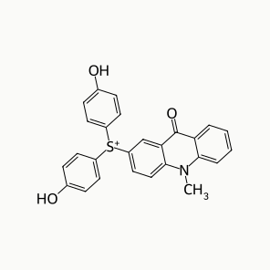 Cn1c2ccccc2c(=O)c2cc([S+](c3ccc(O)cc3)c3ccc(O)cc3)ccc21